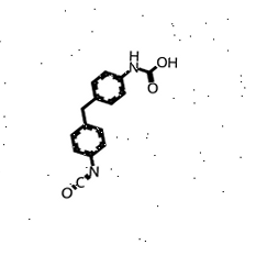 O=C=Nc1ccc(Cc2ccc(NC(=O)O)cc2)cc1